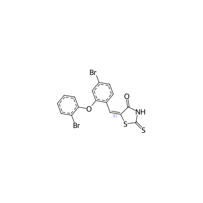 O=C1NC(=S)S/C1=C/c1ccc(Br)cc1Oc1ccccc1Br